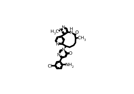 CC1CCCC(n2cnc(-c3cc(Cl)ccc3N)cc2=O)c2cc(ccn2)-c2c(cnn2C)NC1=O